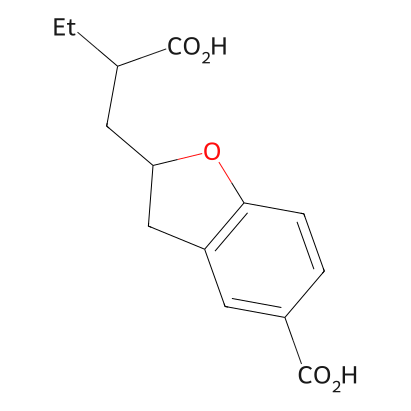 CCC(CC1Cc2cc(C(=O)O)ccc2O1)C(=O)O